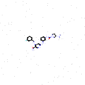 CN(C)[C@@H]1CCN(C(=O)Nc2cccc(Nc3cc(NCc4cccc(F)c4)c(C(N)=O)cn3)c2)C1